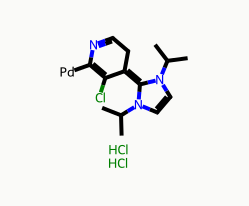 CC(C)N1C=CN(C(C)C)C1=C1CC=N[C]([Pd])=C1Cl.Cl.Cl